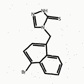 S=c1[nH]ncn1Cc1ccc(Br)c2ccccc12